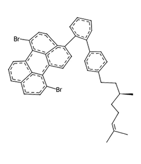 CC(C)=CCC[C@H](C)CCc1ccc(-c2ccccc2-c2ccc3c4c(Br)ccc5cccc(c6c(Br)ccc2c36)c54)cc1